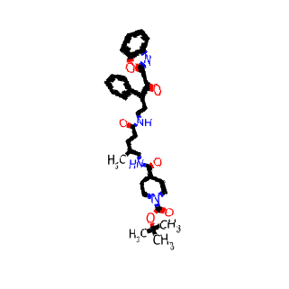 CC(CCC(=O)NCCC(C(=O)c1nc2ccccc2o1)c1ccccc1)CNC(=O)C1CCN(C(=O)OC(C)(C)C)CC1